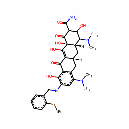 CN(C)c1cc(NCc2ccccc2SC(C)(C)C)c(O)c2c1C[C@H]1C[C@H]3C(N(C)C)C(O)C(C(N)=O)C(=O)[C@@]3(O)C(O)=C1C2=O